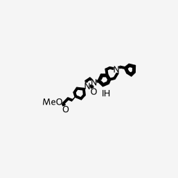 COC(=O)CC[C@H]1CC[C@H](N2CCN(c3ccc4c(c3)CCN(Cc3ccccc3)CC4)C2=O)CC1.I